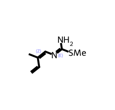 C=C/C(C)=C\N=C(/N)SC